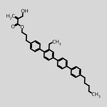 C=C(CO)C(=O)OCCCc1ccc(-c2ccc(-c3ccc(-c4ccc(CCCCC)cc4)cc3)cc2CC)cc1